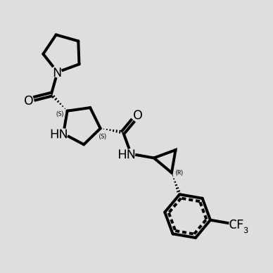 O=C(NC1C[C@@H]1c1cccc(C(F)(F)F)c1)[C@@H]1CN[C@H](C(=O)N2CCCC2)C1